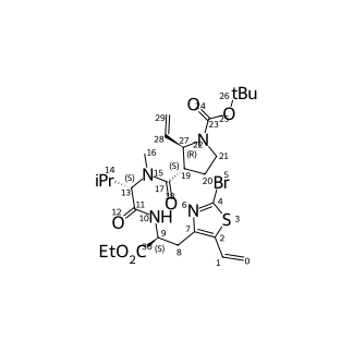 C=Cc1sc(Br)nc1C[C@H](NC(=O)[C@H](C(C)C)N(C)C(=O)[C@H]1CCN(C(=O)OC(C)(C)C)[C@@H]1C=C)C(=O)OCC